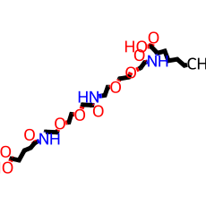 CCCCCC(NC(=O)COCCOCCNC(=O)COCCOCCNC(=O)CCCC(=O)O)C(=O)O